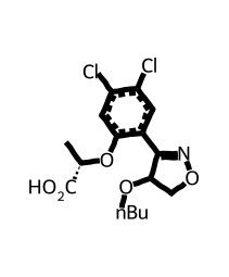 CCCCOC1CON=C1c1cc(Cl)c(Cl)cc1O[C@@H](C)C(=O)O